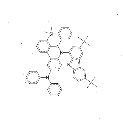 CC(C)(C)c1ccc2c(c1)c1cc(C(C)(C)C)cc3c1n2-c1cc(N(c2ccccc2)c2ccccc2)cc2c1B3N1c3ccccc3[Si](C)(C)c3cccc-2c31